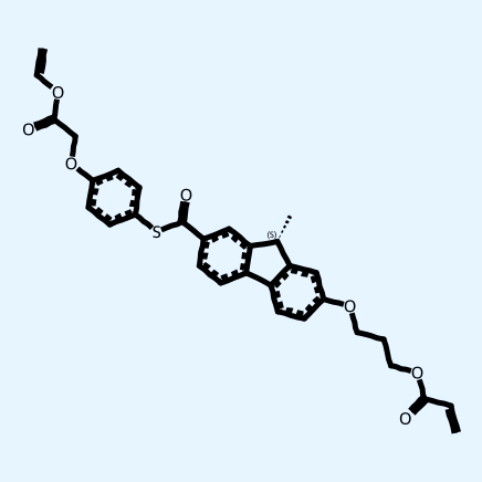 C=COC(=O)COc1ccc(SC(=O)c2ccc3c(c2)[C@H](C)c2cc(OCCCOC(=O)C=C)ccc2-3)cc1